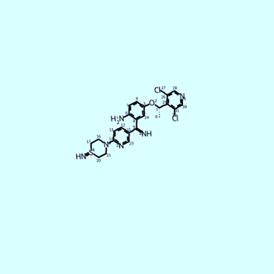 C[C@H](Oc1ccc(N)c(C(=N)c2ccc(N3CCS(=N)CC3)nc2)c1)c1c(Cl)cncc1Cl